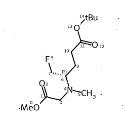 COC(=O)CN(C)[C@H](CF)CCC(=O)OC(C)(C)C